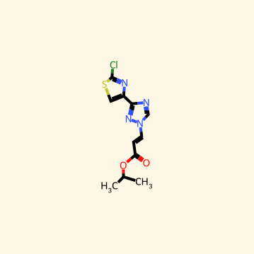 CC(C)OC(=O)C=Cn1cnc(-c2csc(Cl)n2)n1